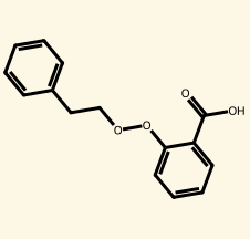 O=C(O)c1ccccc1OOCCc1ccccc1